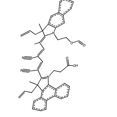 C=CCC1(C)C(/C(C#N)=C/C(C#N)=C/C(C)=C2\N(CCOC=O)c3cc4ccccc4cc3C2(C)CC=C)=[N+](CCC(=O)O)c2c1c1ccccc1c1ccccc21